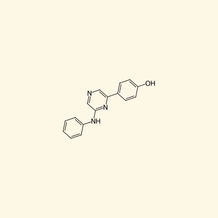 Oc1ccc(-c2cncc(Nc3ccccc3)n2)cc1